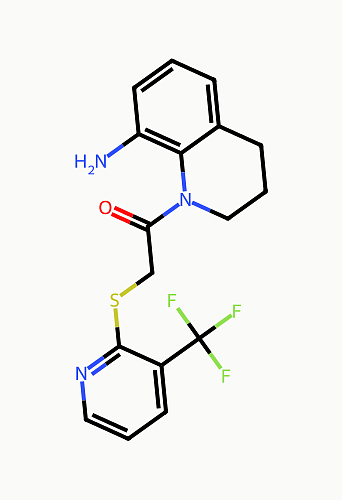 Nc1cccc2c1N(C(=O)CSc1ncccc1C(F)(F)F)CCC2